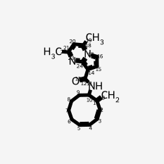 C=C1/C=C\C=C/CCCCC1NC(=O)c1ccn2c(C)cc(C)nc12